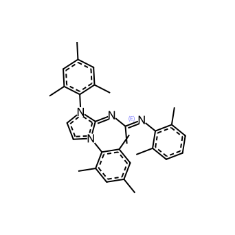 C/C(N=c1n(-c2c(C)cc(C)cc2C)ccn1-c1c(C)cc(C)cc1C)=N\c1c(C)cccc1C